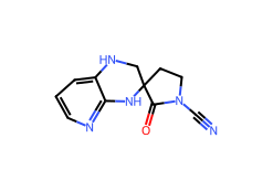 N#CN1CCC2(CNc3cccnc3N2)C1=O